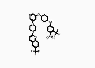 O=[N+]([O-])c1ccc(N[C@H]2CC[C@H](Oc3cncc(N4CCN(c5ccc6cc(C(F)(F)F)ccc6n5)CC4)c3)CC2)cc1C(F)(F)F